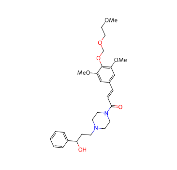 COCCOCOc1c(OC)cc(C=CC(=O)N2CCN(CCC(O)c3ccccc3)CC2)cc1OC